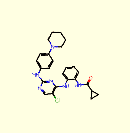 O=C(Nc1ccccc1Nc1nc(Nc2ccc(N3CCCCC3)cc2)ncc1Cl)C1CC1